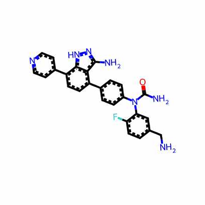 NCc1ccc(F)c(N(C(N)=O)c2ccc(-c3ccc(-c4ccncc4)c4[nH]nc(N)c34)cc2)c1